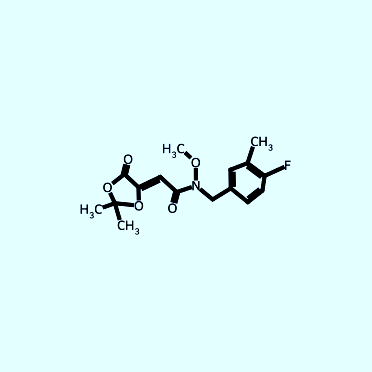 CON(Cc1ccc(F)c(C)c1)C(=O)C=C1OC(C)(C)OC1=O